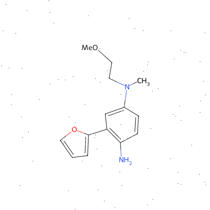 COCCN(C)c1ccc(N)c(-c2ccco2)c1